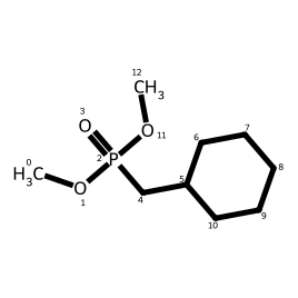 COP(=O)(CC1CCCCC1)OC